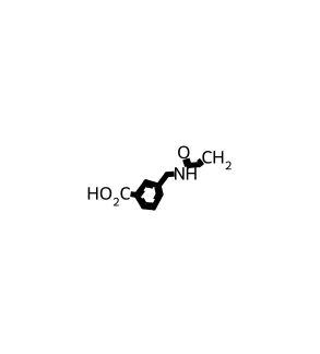 C=CC(=O)NCc1cccc(C(=O)O)c1